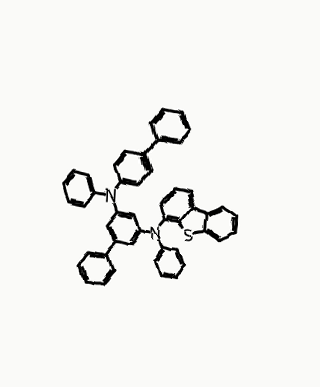 c1ccc(-c2ccc(N(c3ccccc3)c3cc(-c4ccccc4)cc(N(c4ccccc4)c4cccc5c4sc4ccccc45)c3)cc2)cc1